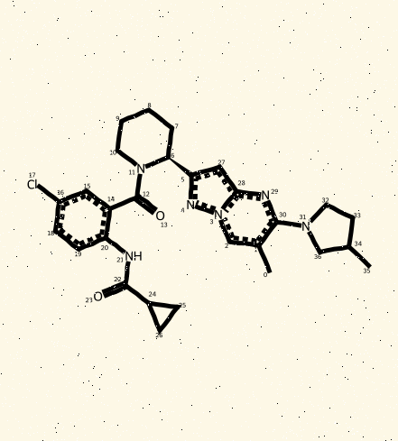 Cc1cn2nc([C@@H]3CCCCN3C(=O)c3cc(Cl)ccc3NC(=O)C3CC3)cc2nc1N1CCC(C)C1